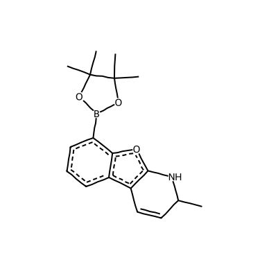 CC1C=Cc2c(oc3c(B4OC(C)(C)C(C)(C)O4)cccc23)N1